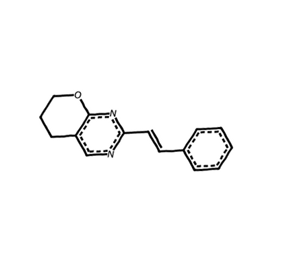 C(=C\c1ncc2c(n1)OCCC2)/c1ccccc1